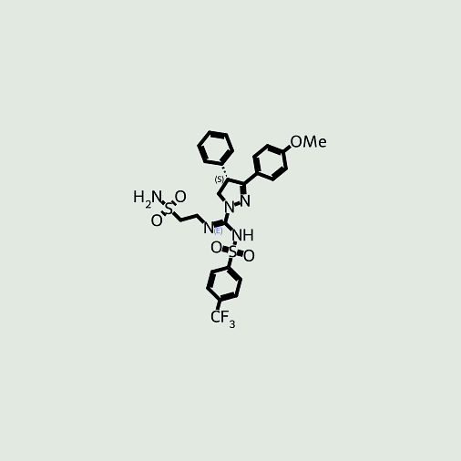 COc1ccc(C2=NN(/C(=N\CCS(N)(=O)=O)NS(=O)(=O)c3ccc(C(F)(F)F)cc3)C[C@@H]2c2ccccc2)cc1